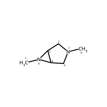 CN1CC2C(C1)N2C